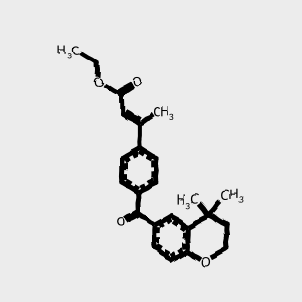 CCOC(=O)C=C(C)c1ccc(C(=O)c2ccc3c(c2)C(C)(C)CCO3)cc1